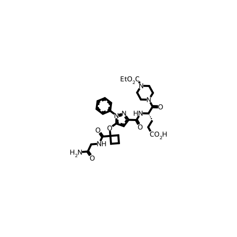 CCOC(=O)N1CCN(C(=O)[C@H](CCC(=O)O)NC(=O)c2cc(OC3(C(=O)NCC(N)=O)CCC3)n(-c3ccccc3)n2)CC1